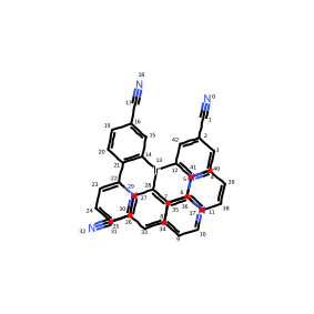 N#Cc1ccc(-c2ccccn2)[c]([Ir]([c]2cc(C#N)ccc2-c2ccccn2)[c]2cc(C#N)ccc2-c2ccccn2)c1